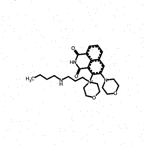 CCCCNCCC[N+]1(c2c(N3CCOCC3)cc3cccc4c3c2C(=O)NC4=O)CCOCC1